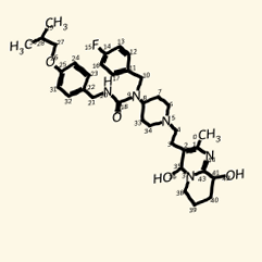 CC1=C(CCN2CCC(N(Cc3ccc(F)cc3)C(=O)NCc3ccc(OCC(C)C)cc3)CC2)C(O)N2CCCC(O)C2=N1